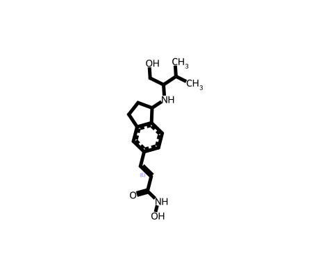 CC(C)C(CO)NC1CCc2cc(/C=C/C(=O)NO)ccc21